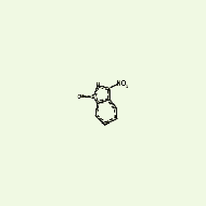 O=[N+]([O-])c1n[s+]([O-])c2ccccc12